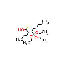 CCCCCC(C(CCC)C(O)=S)[Si](OCC)(OCC)OCC